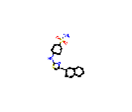 NS(=O)(=O)c1ccc(Nc2nc(-c3ccc4ccccc4c3)cs2)cc1